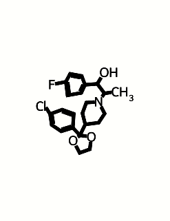 CC(C(O)c1ccc(F)cc1)N1CCC(C2(c3ccc(Cl)cc3)OCCO2)CC1